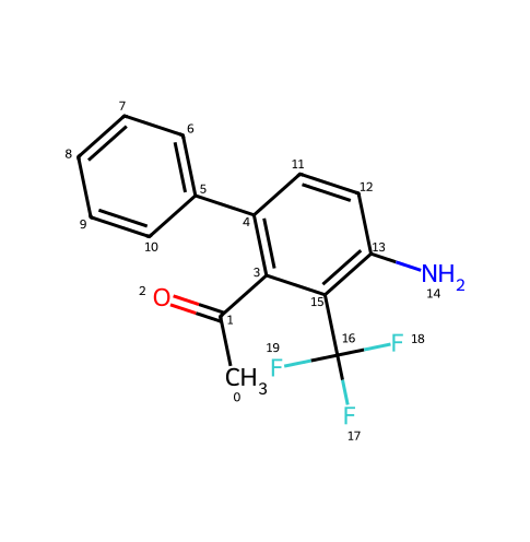 CC(=O)c1c(-c2ccccc2)ccc(N)c1C(F)(F)F